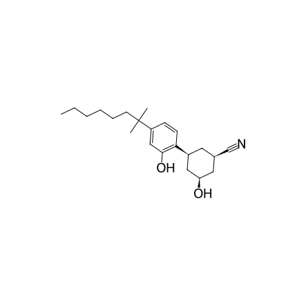 CCCCCCC(C)(C)c1ccc([C@@H]2C[C@H](O)C[C@H](C#N)C2)c(O)c1